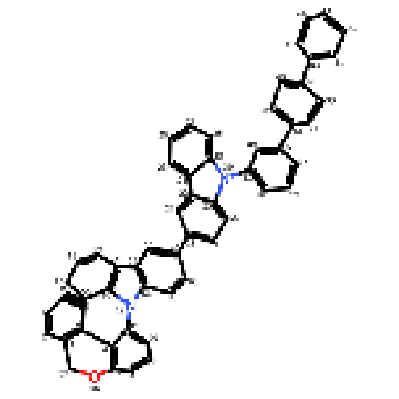 c1ccc2c(c#1)-c1c(cccc1-n1c3c(c4cc(-c5ccc6c(c5)c5ccccc5n6-c5cccc(-c6ccc(-c7ccccc7)cc6)c5)ccc41)C=CCC3)OC2